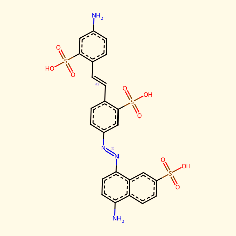 Nc1ccc(/C=C/c2ccc(/N=N/c3ccc(N)c4ccc(S(=O)(=O)O)cc34)cc2S(=O)(=O)O)c(S(=O)(=O)O)c1